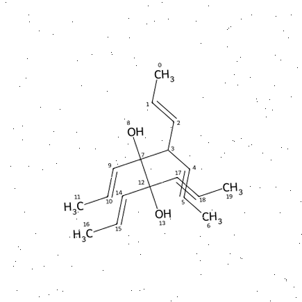 CC=CC(C=CC)C(O)(C=CC)C(O)(C=CC)C=CC